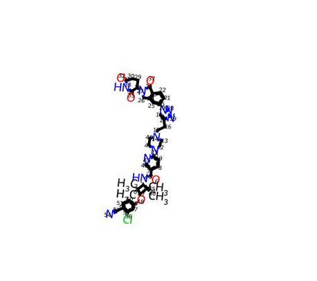 CC1(C)[C@H](NC(=O)c2ccc(N3CCN(CCc4cn(-c5ccc6c(c5)CN(C5CCC(=O)NC5=O)C6=O)nn4)CC3)nc2)C(C)(C)[C@H]1Oc1ccc(C#N)c(Cl)c1